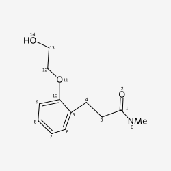 CNC(=O)CCc1ccccc1OCCO